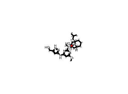 COc1cc(Nc2cc(CO)[nH]n2)nc(N(C)[C@H]2C[C@@H]3CCC[C@@](CC(C)C)(C2)N3C(=O)O)n1